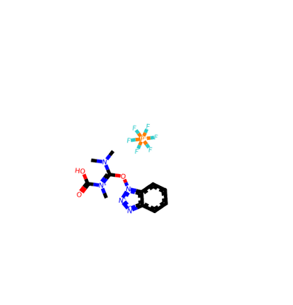 CN(C)C(On1nnc2ccccc21)=[N+](C)C(=O)O.F[P-](F)(F)(F)(F)F